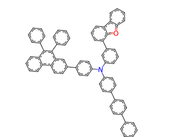 c1ccc(-c2ccc(-c3ccc(N(c4ccc(-c5ccc6c(c5)c(-c5ccccc5)c(-c5ccccc5)c5ccccc56)cc4)c4cccc(-c5cccc6c5oc5ccccc56)c4)cc3)cc2)cc1